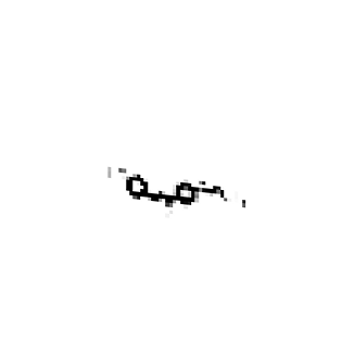 CCCOc1ccc(C(=O)C=Cc2ccc(O)cc2)cc1